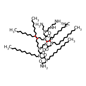 CCCCCCCCCCCCN(CC(N)=O)C(=O)CN(CCCCCCCCCCCC)C(=O)CN(CCCCCCCCCCCC)C(=O)CN(CCCCCCCCCCCC)C(=O)CN(CCCCCCCCCCCC)C(=O)CN(CCCCCCCCCCCC)C(=O)CN(CCN)C(=O)CNCCN